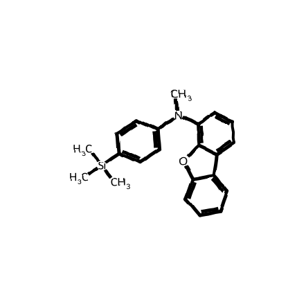 CN(c1ccc([Si](C)(C)C)cc1)c1cccc2c1oc1ccccc12